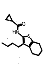 CCCCc1c(NC(=O)C2CC2)sc2c1CCCC2